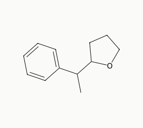 CC(c1ccccc1)C1CCCO1